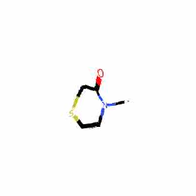 [CH2]N1CCSCC1=O